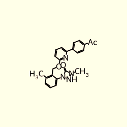 CC(=O)c1ccc(-c2cccc(OCc3c(C)cccc3-n3[nH]n(C)c3=O)n2)cc1